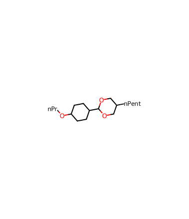 CCCCCC1COC(C2CCC(OCCC)CC2)OC1